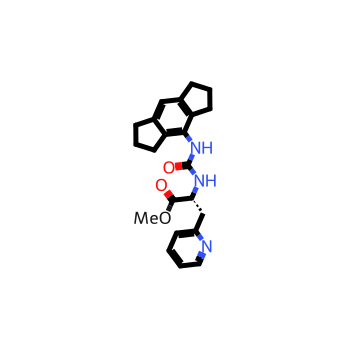 COC(=O)[C@@H](Cc1ccccn1)NC(=O)Nc1c2c(cc3c1CCC3)CCC2